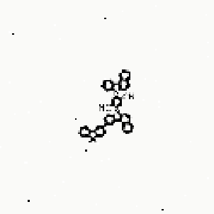 CC1(C)c2ccccc2-c2cc(-c3ccc4c(c3)c3c5ccccc5ccc3n4-c3cc(C#N)c(-n4c5ccccc5c5c6ccccc6ccc54)cc3C#N)ccc21